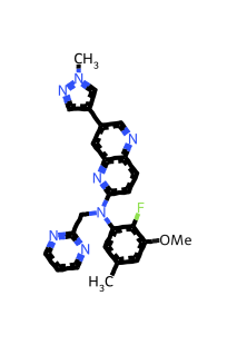 COc1cc(C)cc(N(Cc2ncccn2)c2ccc3ncc(-c4cnn(C)c4)cc3n2)c1F